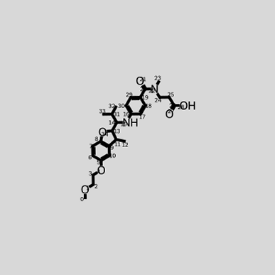 COCCOc1ccc2c(c1)C(C)C(C(Nc1ccc(C(=O)N(C)CCC(=O)O)cc1)C(C)C)O2